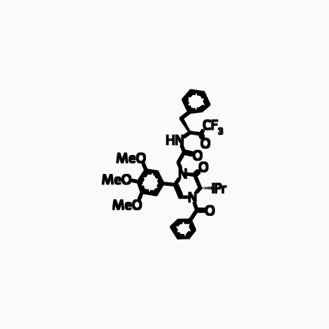 COc1cc(C2=CN(C(=O)c3ccccc3)[C@@H](C(C)C)C(=O)N2CC(=O)N[C@@H](Cc2ccccc2)C(=O)C(F)(F)F)cc(OC)c1OC